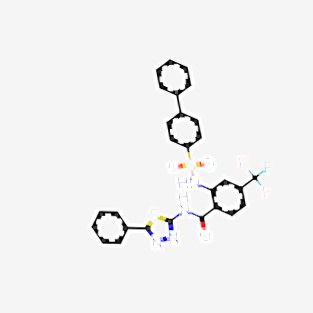 O=C(Nc1nnc(-c2ccccc2)s1)c1ccc(C(F)(F)F)cc1NS(=O)(=O)c1ccc(-c2ccccc2)cc1